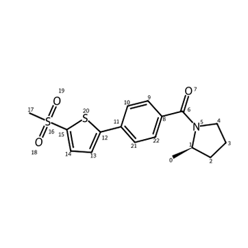 C[C@@H]1CCCN1C(=O)c1ccc(-c2ccc(S(C)(=O)=O)s2)cc1